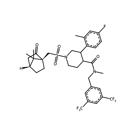 Cc1cc(F)ccc1C1CN(S(=O)(=O)C[C@]23CC[C@H](CC2=O)C3(C)C)CCC1C(=O)N(C)Cc1cc(C(F)(F)F)cc(C(F)(F)F)c1